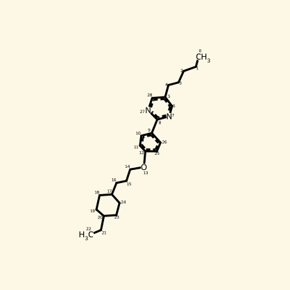 CCCCCc1cnc(-c2ccc(OCCCC3CCC(CC)CC3)cc2)nc1